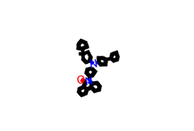 CC1(c2ccccc2)C=CC(N(c2ccc(-c3ccccc3)cc2)c2ccc(-n3c(=O)c4ccccc4c4ccccc43)cc2)=CC1